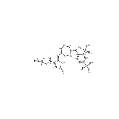 CC(C)(O)CNC1=NC(=O)S/C1=C\C1CCCN(Cc2ccc(C(F)(F)F)cc2C(F)(F)F)CC1